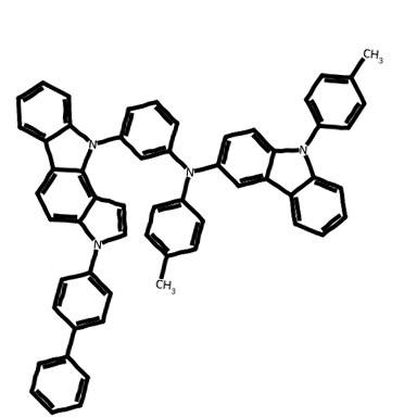 Cc1ccc(N(c2cccc(-n3c4ccccc4c4ccc5c(ccn5-c5ccc(-c6ccccc6)cc5)c43)c2)c2ccc3c(c2)c2ccccc2n3-c2ccc(C)cc2)cc1